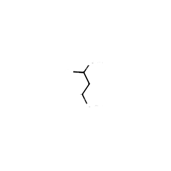 [CH2]CCCCCC(CC)CCCCCCCCC